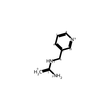 C=C(N)NCc1cccnc1